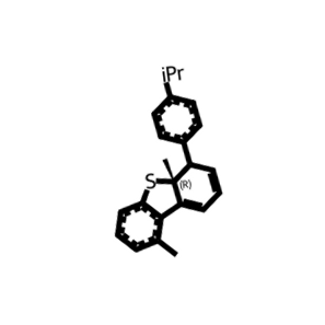 Cc1cccc2c1C1=CC=CC(c3ccc(C(C)C)cc3)[C@@]1(C)S2